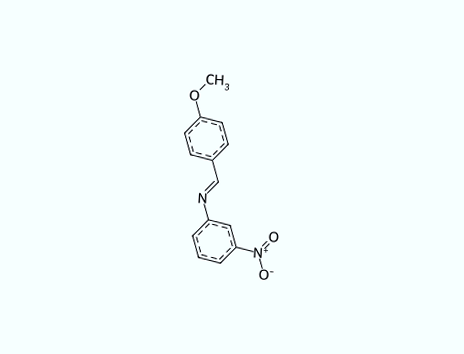 COc1ccc(/C=N/c2cccc([N+](=O)[O-])c2)cc1